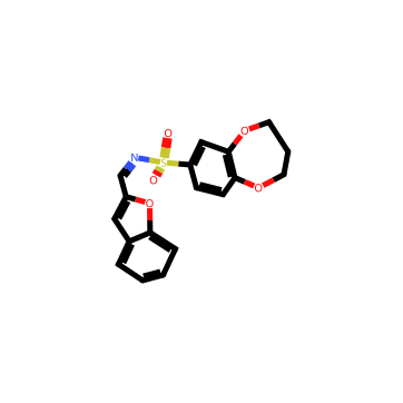 O=S(=O)(/N=C\c1cc2ccccc2o1)c1ccc2c(c1)OCCCO2